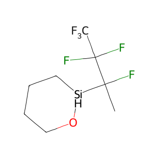 CC(F)([SiH]1CCCCO1)C(F)(F)C(F)(F)F